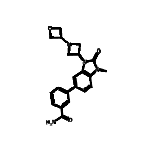 Cn1c(=O)n(C2CN(C3COC3)C2)c2cc(-c3cccc(C(N)=O)c3)ccc21